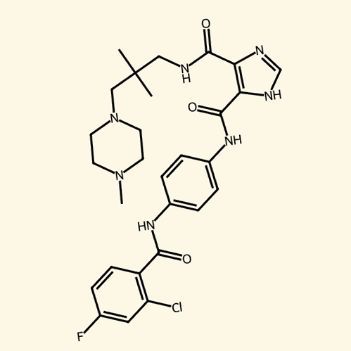 CN1CCN(CC(C)(C)CNC(=O)c2nc[nH]c2C(=O)Nc2ccc(NC(=O)c3ccc(F)cc3Cl)cc2)CC1